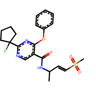 CC(C=CS(C)(=O)=O)NC(=O)c1cnc(C2(F)CCCC2)nc1Oc1ccccc1